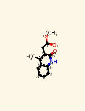 COC(=O)Cc1c(C)c2ccccc2[nH]c1=O